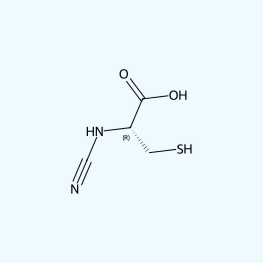 N#CN[C@@H](CS)C(=O)O